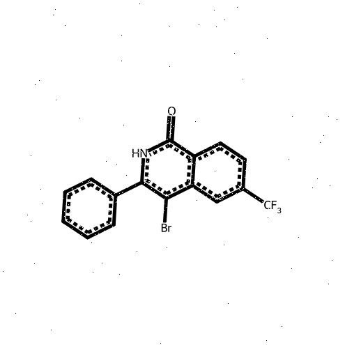 O=c1[nH]c(-c2ccccc2)c(Br)c2cc(C(F)(F)F)ccc12